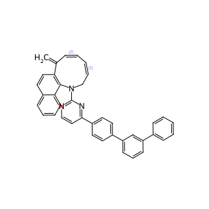 C=C1/C=C\C=C/CN(c2nccc(-c3ccc(-c4cccc(-c5ccccc5)c4)cc3)n2)c2c1ccc1ccccc21